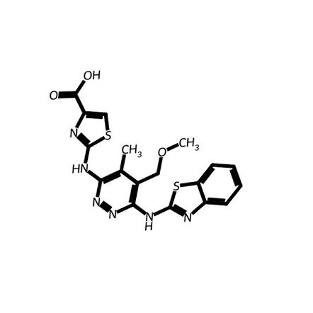 COCc1c(Nc2nc3ccccc3s2)nnc(Nc2nc(C(=O)O)cs2)c1C